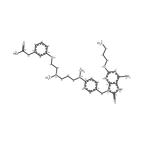 CCCCOc1nc(N)c2[nH]c(=O)n(Cc3ccc(N(C)CCCN(C)CCOc4cccc(CC(=O)O)c4)nc3)c2n1